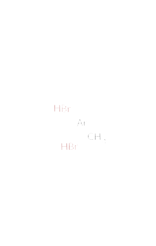 Br.Br.C.[Ar]